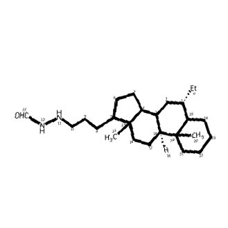 CC[C@H]1CC2C3CCC(CCCNNC=O)C3(C)CC[C@@H]2C2(C)CCCCC12